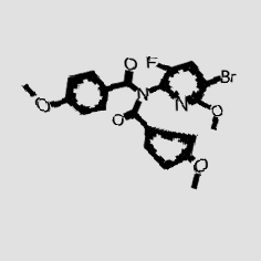 COc1ccc(C(=O)N(C(=O)c2ccc(OC)cc2)c2nc(OC)c(Br)cc2F)cc1